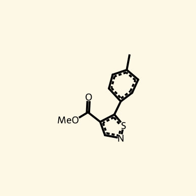 COC(=O)c1cnsc1-c1ccc(C)cc1